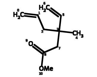 C=CCC(C)(C=C)CC(=O)OC